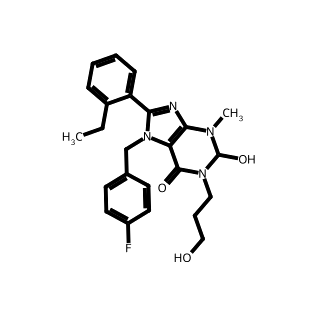 CCc1ccccc1-c1nc2c(n1Cc1ccc(F)cc1)C(=O)N(CCCO)C(O)N2C